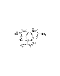 Cc1c[nH]c(-c2nc(N)cnc2-c2ccc(O)c(Cl)c2)n1